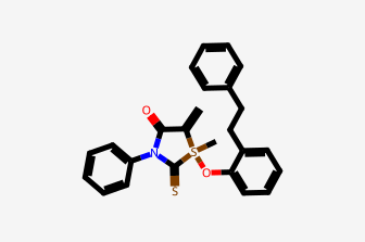 C=C1C(=O)N(c2ccccc2)C(=S)S1(C)Oc1ccccc1CCc1ccccc1